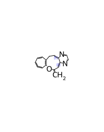 C=C1/C=c2/nccn/c2=C/CC2=C(C=C=CC=C2)O1